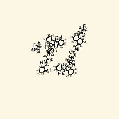 O=C(C[N+]12CCC(CC1)[C@@H](OC(=O)C(O)(c1ccccc1)c1ccccc1)C2)NCc1cccc2ccccc12.O=C(C[N+]12CCC(CC1)[C@@H](OC(=O)C(O)(c1ccccc1)c1ccccc1)C2)NCc1ccccc1Cl.O=C([O-])C(F)(F)F.O=C([O-])C(F)(F)F